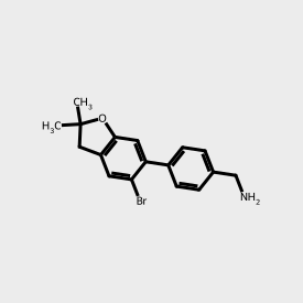 CC1(C)Cc2cc(Br)c(-c3ccc(CN)cc3)cc2O1